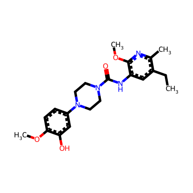 CCc1cc(NC(=O)N2CCN(c3ccc(OC)c(O)c3)CC2)c(OC)nc1C